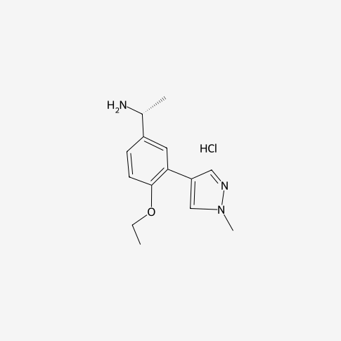 CCOc1ccc([C@@H](C)N)cc1-c1cnn(C)c1.Cl